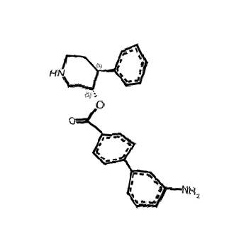 Nc1cccc(-c2ccc(C(=O)O[C@@H]3CNCC[C@H]3c3ccccc3)cc2)c1